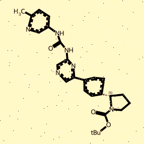 Cc1ccc(NC(=O)Nc2cncc(-c3ccc([C@@H]4CCCN4C(=O)OC(C)(C)C)cc3)n2)cn1